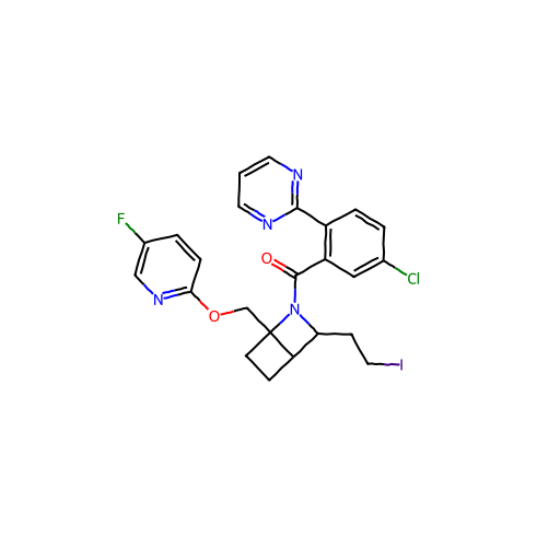 O=C(c1cc(Cl)ccc1-c1ncccn1)N1C(CCI)C2CCC21COc1ccc(F)cn1